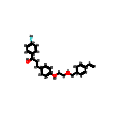 C=Cc1ccc(COCCOc2ccc(C=CC(=O)c3ccc(F)cc3)cc2)cc1